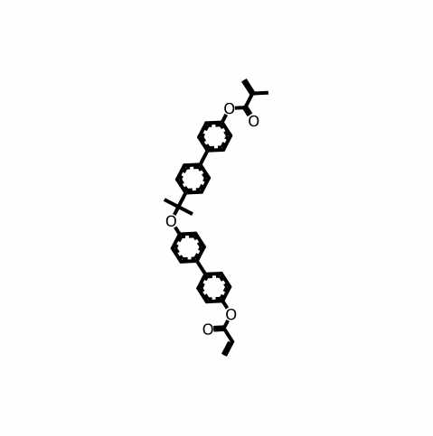 C=CC(=O)Oc1ccc(-c2ccc(OC(C)(C)c3ccc(-c4ccc(OC(=O)C(=C)C)cc4)cc3)cc2)cc1